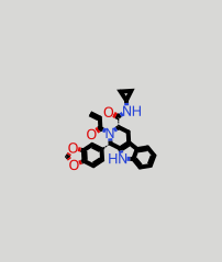 C=CC(=O)N1[C@@H](c2ccc3c(c2)OCO3)c2[nH]c3ccccc3c2C[C@H]1C(=O)NC1CC1